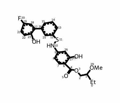 CCC(COC(=O)c1ccc(NSc2cccc(-c3cc(F)ccc3O)c2)cc1O)OC